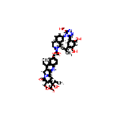 CCc1c2c(nc3ccc(OC(=O)N4CCc5ccc(-n6c(O)nnc6-c6cc(C(C)C)c(O)cc6O)cc5C4)cc13)-c1cc3c(c(=O)n1C2)COC(=O)C3(O)CC